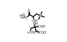 CCCC(=O)C(O)C[N+](C)(C)C.O=C([O-])CC(O)(CC(=O)[O-])C(=O)[O-].[H+].[H+]